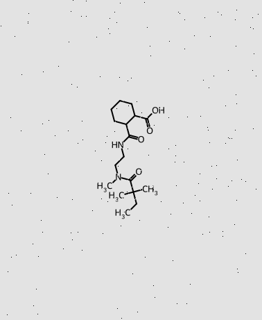 CCC(C)(C)C(=O)N(C)CCNC(=O)C1CCCCC1C(=O)O